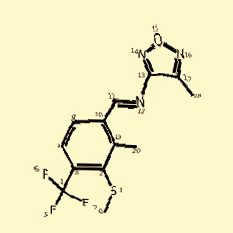 CSc1c(C(F)(F)F)ccc(/C=N/c2nonc2C)c1C